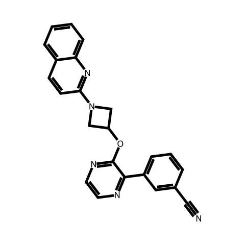 N#Cc1cccc(-c2nccnc2OC2CN(c3ccc4ccccc4n3)C2)c1